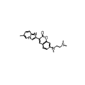 Cc1ccc2nc(-c3cc4ccc(N(C)CCN(C)C)cc4oc3=O)cn2c1